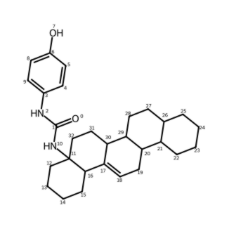 O=C(Nc1ccc(O)cc1)NC12CCCCC1C1=CCC3C4CCCCC4CCC3C1CC2